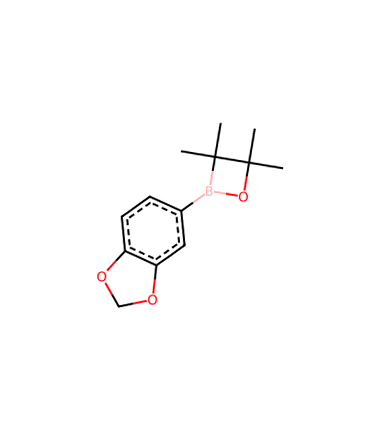 CC1(C)OB(c2ccc3c(c2)OCO3)C1(C)C